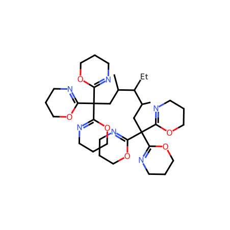 CCC(C(C)CC(C1=NCCCO1)(C1=NCCCO1)C1=NCCCO1)C(C)CC(C1=NCCCO1)(C1=NCCCO1)C1=NCCCO1